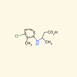 Cc1c(Cl)cccc1NC(C)CC(=O)O